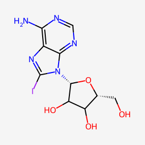 Nc1ncnc2c1nc(I)n2[C@@H]1O[C@H](CO)C(O)C1O